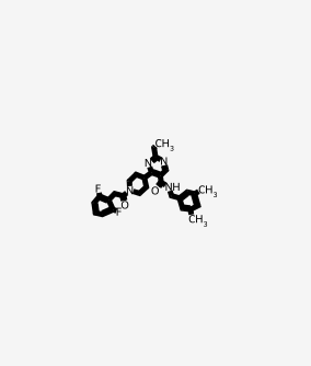 CCc1ncc(C(=O)NCc2cc(C)cc(C)c2)c(C2CCN(C(=O)Cc3c(F)cccc3F)CC2)n1